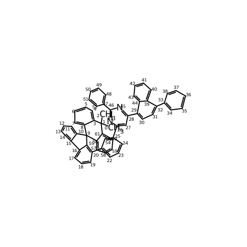 CC1(C)c2ccccc2C2(c3ccccc3-c3cccc(-c4cccc(-c5cc(-c6ccc(-c7ccccc7)c7ccccc67)nc(-c6ccccc6)n5)c4)c32)c2ccccc21